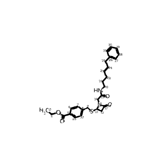 CCOC(=O)c1ccc(CSC2CC(=O)N2CC(=O)NCCCCCCc2ccccc2)cc1